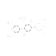 Cc1cc(-c2c(F)cc(N3C[C@@H](C)O[C@@H](C)C3)c(F)c2CN)cc(C)n1